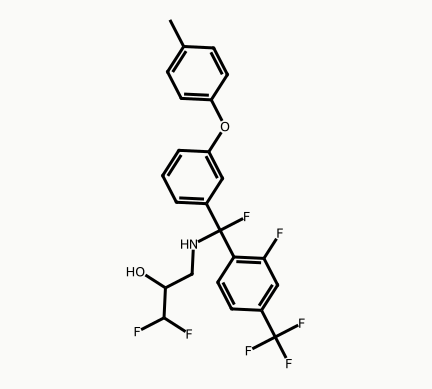 Cc1ccc(Oc2cccc(C(F)(NCC(O)C(F)F)c3ccc(C(F)(F)F)cc3F)c2)cc1